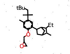 CCC1C(C)C2CC(c3cc(C(C)(C)CC(C)(C)C)c(C)cc3OCC3CO3)C1C2